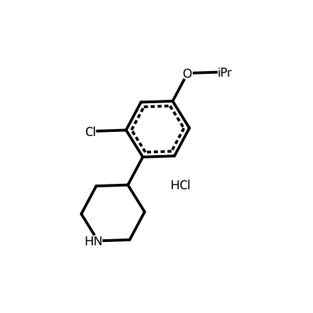 CC(C)Oc1ccc(C2CCNCC2)c(Cl)c1.Cl